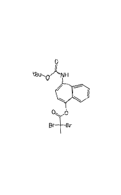 CC(C)(C)OC(=O)Nc1ccc(OC(=O)C(C)(Br)Br)c2ccccc12